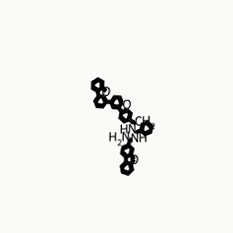 C=C(NC(NC(N)c1ccc2c(c1)oc1ccccc12)c1ccccc1)c1ccc2c(c1)oc1ccc(-c3cccc4c3oc3ccccc34)cc12